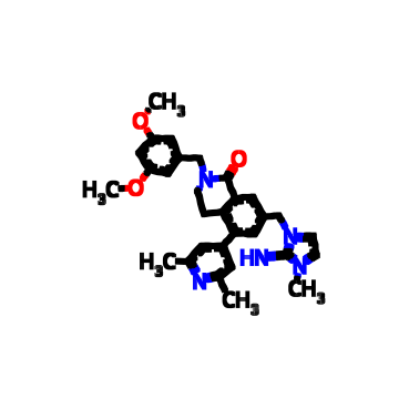 COc1cc(CN2CCc3c(cc(Cn4ccn(C)c4=N)cc3-c3cc(C)nc(C)c3)C2=O)cc(OC)c1